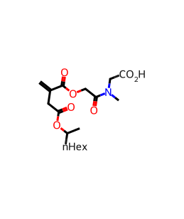 C=C(CC(=O)OC(C)CCCCCC)C(=O)OCC(=O)N(C)CC(=O)O